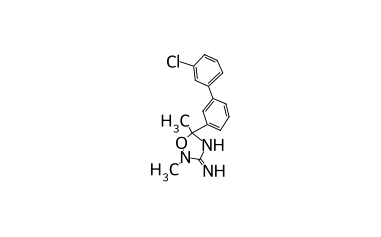 CN1OC(C)(c2cccc(-c3cccc(Cl)c3)c2)NC1=N